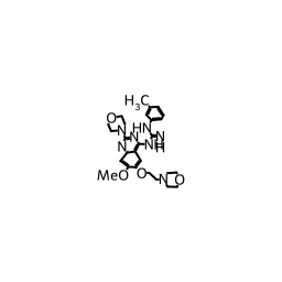 COc1cc2nc(N3CCOCC3)nc(NC(=N)Nc3cccc(C)c3)c2cc1OCCN1CCOCC1